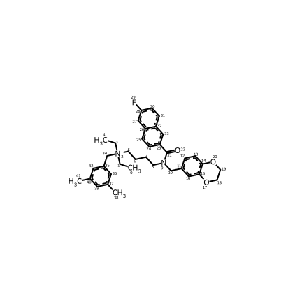 CC[N+](CC)(CCCCN(Cc1ccc2c(c1)OCCO2)C(=O)c1ccc2cc(F)ccc2c1)Cc1cc(C)cc(C)c1